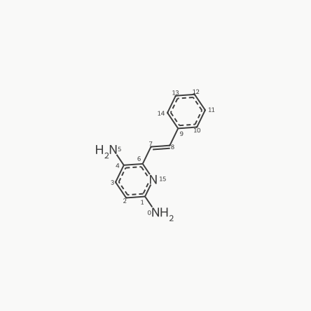 Nc1ccc(N)c(C=Cc2ccccc2)n1